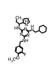 CCC(Nc1nc(NCc2ccc(OC)c(F)c2)nc(NCC2CCCCC2)n1)C1CCCN1